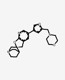 c1nc2c(cc1-c1coc(CN3CCOCC3)c1)C[C@@]1(CN3CCC1CC3)O2